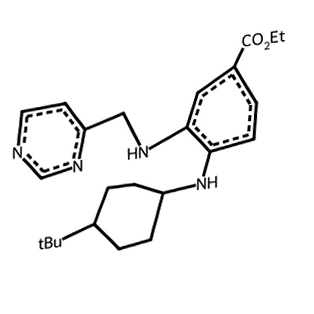 CCOC(=O)c1ccc(NC2CCC(C(C)(C)C)CC2)c(NCc2ccncn2)c1